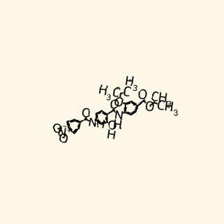 CC(C)OC(=O)c1ccc(NC(=O)c2ccc(NC(=O)c3ccc([N+](=O)[O-])cc3)cc2O)c(OC(C)C)c1